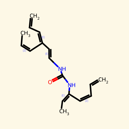 C=C/C=C\C(=C/C)NC(=O)N/C=C/C(/C=C\C)=C/C=C